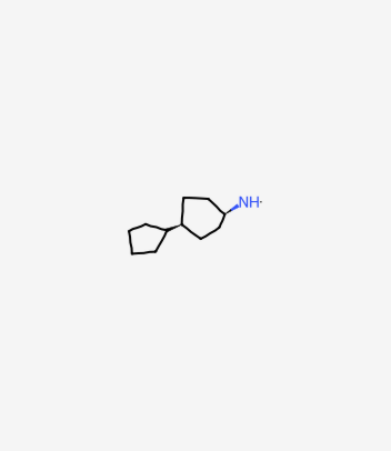 [NH][C@H]1CC[C@@H](C2CCCC2)CC1